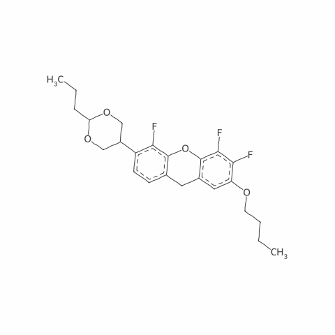 CCCCOc1cc2c(c(F)c1F)Oc1c(ccc(C3COC(CCC)OC3)c1F)C2